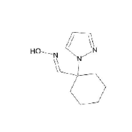 ON=CC1(n2cccn2)CCCCC1